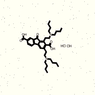 CCCCN(CCCC)CCc1cc2c(c(CCN(CCCC)CCCC)c1C(=O)O)C(=O)c1cc(C(=O)O)ccc1-2.Cl.Cl